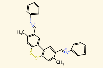 Cc1cc2c(cc1/C=N/c1ccccc1)-c1cc(/C=N/c3ccccc3)c(C)cc1SS2